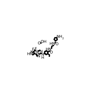 CCc1cc(Nc2nccn3c(-c4c[nH]nc4C(F)(F)F)cnc23)ccc1C(=O)NCCCNC(=O)[C@H]1CC[C@@H](N)C1.O=CO